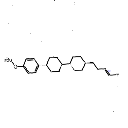 CCCCOc1ccc([C@H]2CC[C@H]([C@H]3CC[C@H](CC/C=C/F)CC3)CC2)cc1